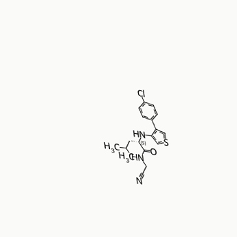 CC(C)C[C@H](Nc1cscc1-c1ccc(Cl)cc1)C(=O)NCC#N